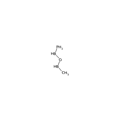 CBOBP